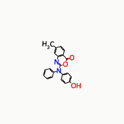 Cc1ccc2c(=O)oc(N(c3ccccc3)c3ccc(O)cc3)nc2c1